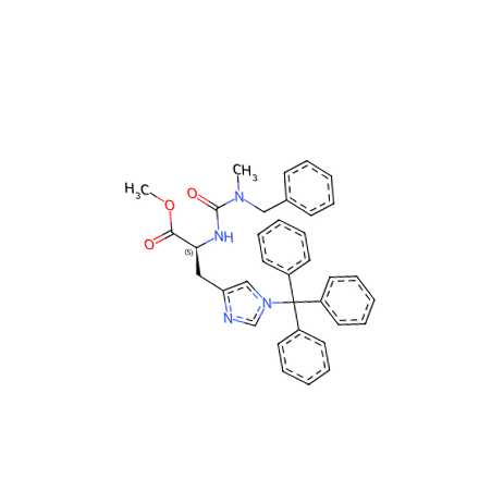 COC(=O)[C@H](Cc1cn(C(c2ccccc2)(c2ccccc2)c2ccccc2)cn1)NC(=O)N(C)Cc1ccccc1